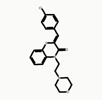 O=C1/C(=C/c2ccc(Cl)cc2)Sc2ccccc2N1CCN1CCOCC1